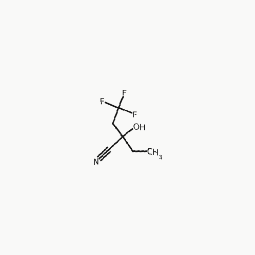 CCC(O)(C#N)CC(F)(F)F